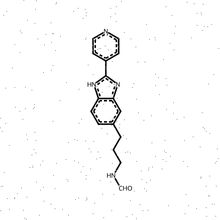 O=CNCCCc1ccc2[nH]c(-c3ccncc3)nc2c1